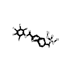 CCOP(=O)(OCC)C(F)c1ccc2sc(C(=O)Oc3c(F)c(F)c(F)c(F)c3F)cc2c1